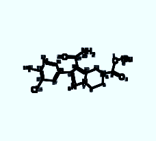 CC(C)(C)OC(=O)N1CCn2nc(-c3cnc(F)c(Cl)c3)c(C(N)=O)c2C1